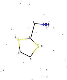 [NH]CC1SCCS1